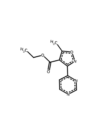 CCOC(=O)c1c(-c2ccncn2)noc1C